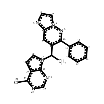 CC(c1cc2nccn2nc1-c1ccccc1)n1ccc2c(Cl)ncnc21